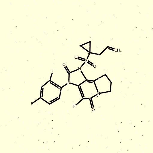 C=CCC1(S(=O)(=O)n2c(=O)n(-c3ccc(I)cc3F)c3c(F)c(=O)n4c(c32)CCC4)CC1